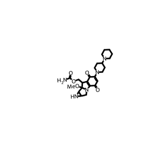 COC12C(COC(N)=O)C3=C(C(=O)C=C(N4CCC(N5CCCCC5)CC4)C3=O)N1CC1NC12